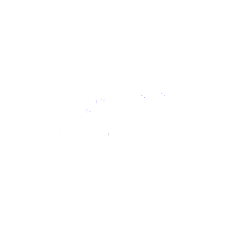 COc1cc(C)c(Cl)cc1NC(=S)Nc1ccc(NC(=O)c2ccccn2)cc1